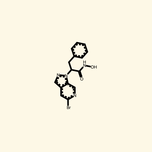 O=C(NO)C(Cc1ccccc1)n1ncc2cc(Br)ncc21